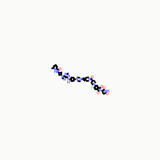 Cc1cccc(C(=O)NC2CC(n3cnc4c(Nc5ccc(N6CCN(C7CC8(CCN(C(=O)C9CCN(c%10cc%11c(cc%10F)C(=O)N([C@H]%10CCC(=O)NC%10=O)C%11=O)CC9)CC8)C7)CC6)cc5)ncnc43)C2)n1